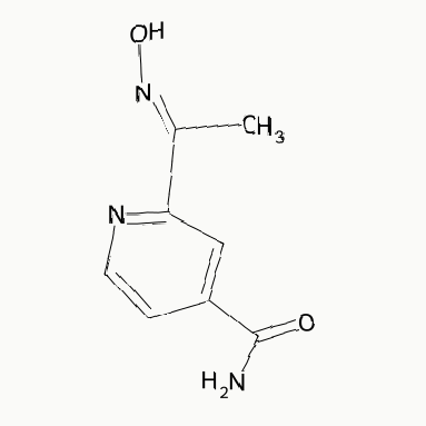 C/C(=N\O)c1cc(C(N)=O)ccn1